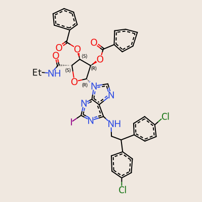 CCNC(=O)[C@H]1O[C@@H](n2cnc3c(NCC(c4ccc(Cl)cc4)c4ccc(Cl)cc4)nc(I)nc32)[C@H](OC(=O)c2ccccc2)[C@@H]1OC(=O)c1ccccc1